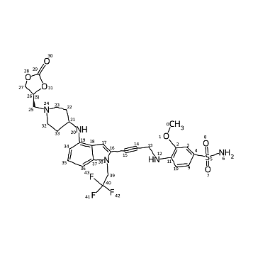 COc1cc(S(N)(=O)=O)ccc1NCC#Cc1cc2c(NC3CCN(C[C@H]4COC(=O)O4)CC3)cccc2n1CC(F)(F)F